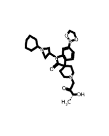 C[C@@H](O)C(=O)CN1CCC2(CC1)C(=O)N(C1CN(C3CCCCC3)C1)c1cc(B3OCCO3)ccc12